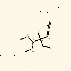 CCC(C)(N=C=O)[SiH](OC)OC